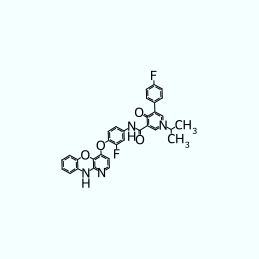 CC(C)n1cc(C(=O)Nc2ccc(Oc3ccnc4c3Oc3ccccc3N4)c(F)c2)c(=O)c(-c2ccc(F)cc2)c1